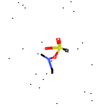 CCS(=O)(=O)ON(C)C